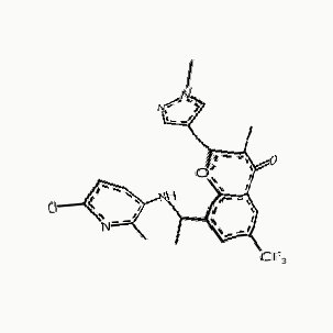 Cc1nc(Cl)ccc1NC(C)c1cc(C(F)(F)F)cc2c(=O)c(C)c(-c3cnn(C)c3)oc12